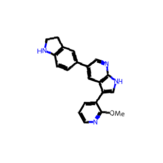 COc1ncccc1-c1c[nH]c2ncc(-c3ccc4c(c3)CCN4)cc12